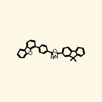 CC1(C)c2ccccc2-c2ccc(-c3nnc(-c4ccc(-c5cccc6c5oc5ccccc56)cc4)o3)cc21